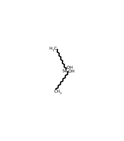 CCCCCCCCCCCC(O)[Se]C(O)CCCCCCCCCCC